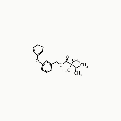 CC(C)C(C)(C)C(=O)OCc1cccc(OC2=CCCC=C2)c1